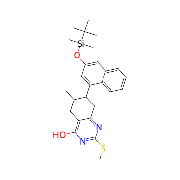 CSc1nc(O)c2c(n1)CC(c1cc(O[Si](C)(C)C(C)(C)C)cc3ccccc13)C(C)C2